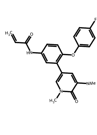 C=CC(=O)Nc1ccc(Oc2ccc(F)cc2)c(-c2cc(NC)c(=O)n(C)c2)c1